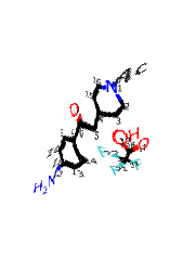 CC(=O)N1CCC(CC(=O)c2ccc(N)cc2)CC1.O=C(O)C(F)(F)F